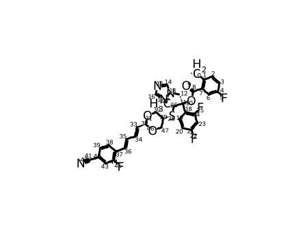 [CH2]c1ccc(F)cc1C(=O)O[C@@](Cn1cncn1)(c1ccc(F)cc1F)[C@@H](C)S[C@H]1CO[C@H](/C=C/C=C/c2ccc(C#N)cc2F)OC1